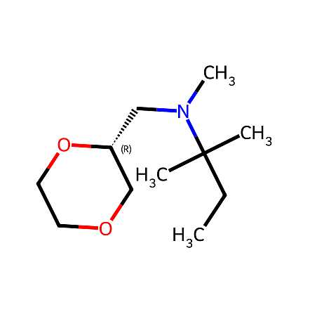 CCC(C)(C)N(C)C[C@@H]1COCCO1